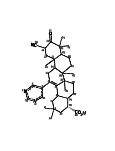 CC1(C)CC2C3=C(c4cncnc4)CC4C5(C)CC(C#N)C(=O)C(C)(C)C5CCC4(C)C3(C)CCC2[C@H](C(=O)O)C1